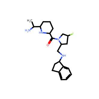 CC(N)C1CCCC(C(=O)N2CC(F)CC2CNC2CCc3ccccc32)N1